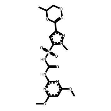 COc1cc(OC)nc(NC(=O)NS(=O)(=O)c2cc(C3=NOCC(C)O3)nn2C)n1